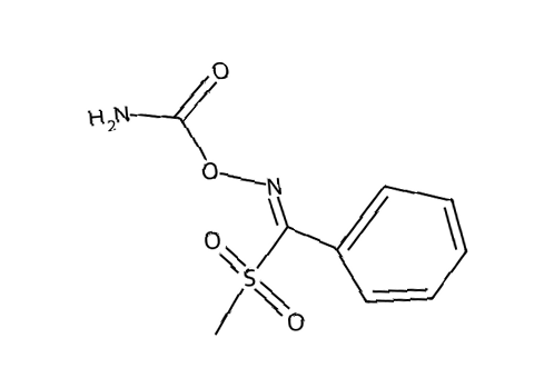 CS(=O)(=O)C(=NOC(N)=O)c1ccccc1